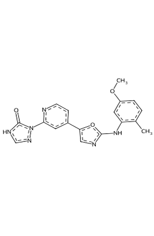 COc1ccc(C)c(Nc2ncc(-c3ccnc(-n4nc[nH]c4=O)c3)o2)c1